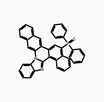 S=P(c1ccccc1)(c1ccccc1)c1cc2c3cc4ccccc4cc3n3c4ccccc4nc3c2c2ccccc12